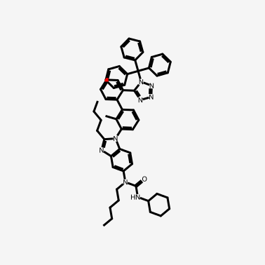 CCCCCN(C(=O)NC1CCCCC1)c1ccc2c(c1)nc(CCCC)n2-c1cccc(-c2ccccc2-c2nnnn2C(c2ccccc2)(c2ccccc2)c2ccccc2)c1C